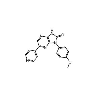 COc1ccc(-n2c(=O)[nH]c3ncc(-c4ccncc4)nc32)cc1